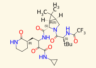 CC(C)(C)[C@H](NC(=O)C(F)(F)F)C(=O)N1C[C@H]2[C@@H]([C@H]1C(=O)NC(C[C@H]1CCCNC1=O)C(=O)C(=O)NC1CC1)C2(C)C